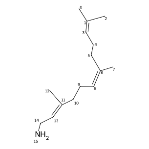 CC(C)=CCC/C(C)=C\CC/C(C)=C/CN